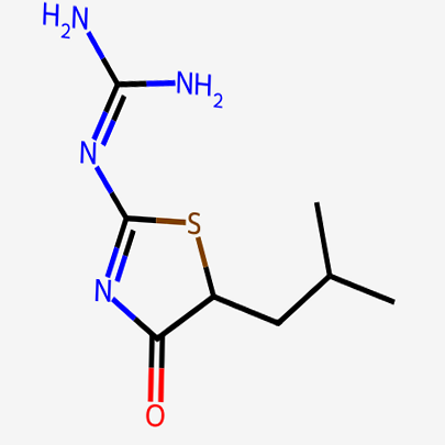 CC(C)CC1SC(N=C(N)N)=NC1=O